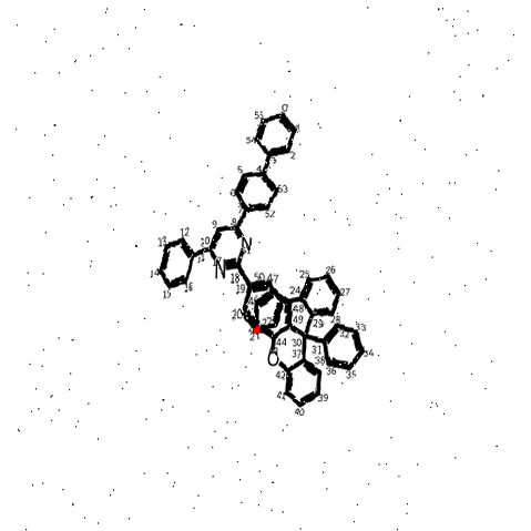 c1ccc(-c2ccc(-c3cc(-c4ccccc4)nc(-c4cccc(-c5ccccc5C5(c6ccccc6)c6ccccc6Oc6ccccc65)c4)n3)cc2)cc1